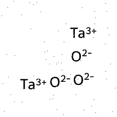 [O-2].[O-2].[O-2].[Ta+3].[Ta+3]